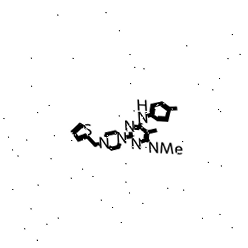 CNc1nc(N2CCN(Cc3cccs3)CC2)nc(Nc2ccc(C)cc2)c1C